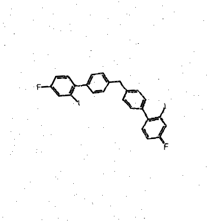 Fc1ccc(-c2ccc(Cc3ccc(-c4ccc(F)cc4I)cc3)cc2)c(I)c1